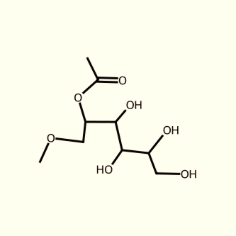 COCC(OC(C)=O)C(O)C(O)C(O)CO